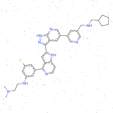 CN(C)CCNc1cc(F)cc(-c2nccc3[nH]c(-c4n[nH]c5ncc(-c6cncc(CNCC7CCCC7)c6)cc45)cc23)c1